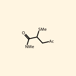 CNC(=O)C(CC(C)=O)SC